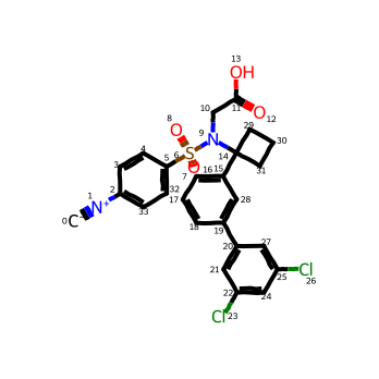 [C-]#[N+]c1ccc(S(=O)(=O)N(CC(=O)O)C2(c3cccc(-c4cc(Cl)cc(Cl)c4)c3)CCC2)cc1